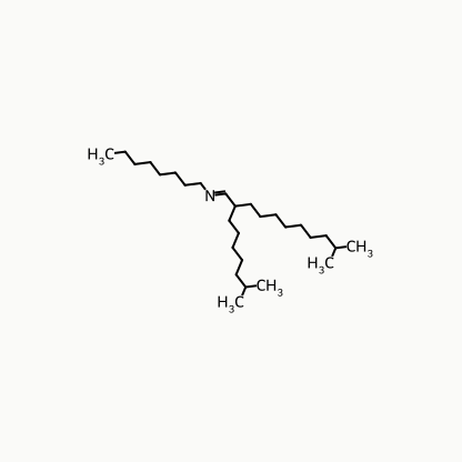 CCCCCCCCN=CC(CCCCCCCC(C)C)CCCCCC(C)C